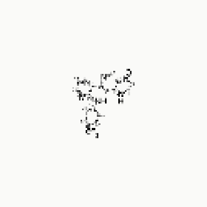 O=c1cc[nH]c2cc(-c3nccnc3Nc3ccc(C(F)(F)F)cc3)ncc12